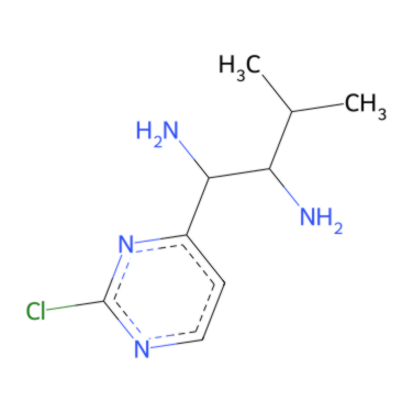 CC(C)C(N)C(N)c1ccnc(Cl)n1